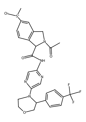 CC(=O)N1Cc2cc([S+](C)[O-])ccc2C1C(=O)Nc1cnc(N2CCOCC2c2ccc(C(F)(F)F)cc2)cn1